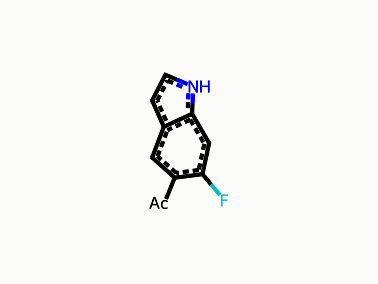 CC(=O)c1cc2cc[nH]c2cc1F